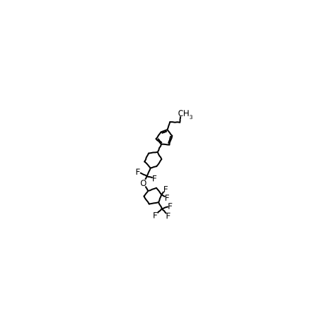 CCCc1ccc(C2CCC(C(F)(F)OC3CCC(C(F)(F)F)C(F)(F)C3)CC2)cc1